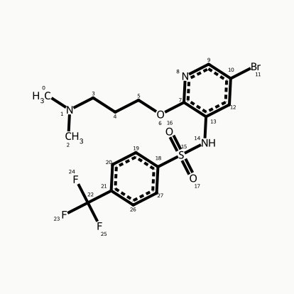 CN(C)CCCOc1ncc(Br)cc1NS(=O)(=O)c1ccc(C(F)(F)F)cc1